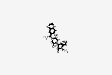 CC(c1ccc2nccnc2c1)N1C[C@H](C)N(c2cc(=O)n(C)c3c[nH]nc23)C[C@H]1C